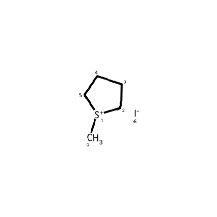 C[S+]1CCCC1.[I-]